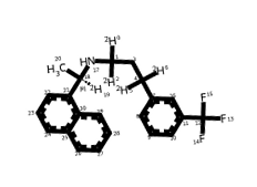 [2H]C([2H])(CC([2H])([2H])c1cccc(C(F)(F)F)c1)N[C@]([2H])(C)c1cccc2ccccc12